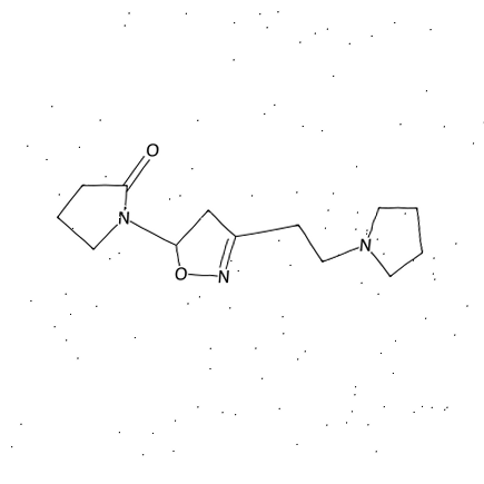 O=C1CCCN1C1CC(CCN2CCCC2)=NO1